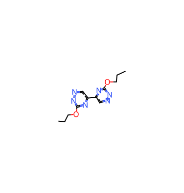 CCCOc1nncc(-c2cnnc(OCCC)n2)n1